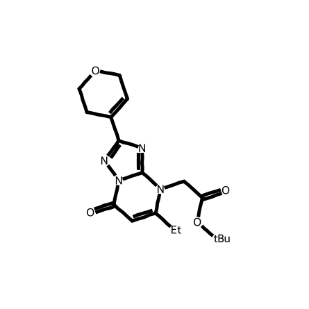 CCc1cc(=O)n2nc(C3=CCOCC3)nc2n1CC(=O)OC(C)(C)C